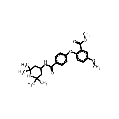 COC(=O)c1cc(OC)ccc1Oc1ccc(C(=O)NC2CC(C)(C)NC(C)(C)C2)cc1